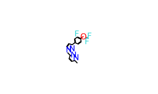 Cc1ccc(Cn2ccc(-c3ccc(OC(F)F)c(F)c3)n2)nn1